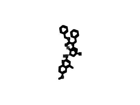 COc1ccc2nc(N[C@H]3C[C@@H]4C[C@H]3[C@@H](N(Cc3ccccc3)C(=O)OCc3ccccc3)C4)cc(C)c2c1